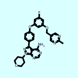 Cc1ncc(COc2cc(F)cc(Oc3ccc(-c4nn(C5CCOCC5)c5ncnc(N)c45)cc3)c2)cn1